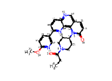 CCC(=O)N1CCC(n2c(=O)ccc3cnc4ccc(-c5ccc(OC)nc5)nc4c32)CC1